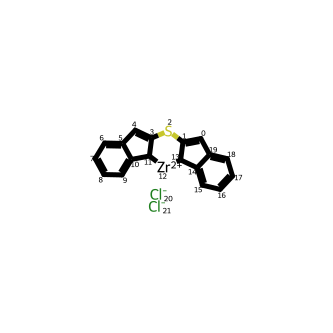 C1=C2SC3=Cc4ccccc4[CH]3[Zr+2][CH]2c2ccccc21.[Cl-].[Cl-]